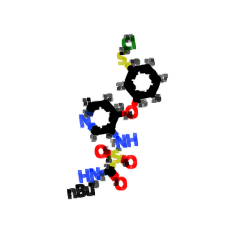 CCCCNC(=O)S(=O)(=O)Nc1cnccc1Oc1cccc(SCl)c1